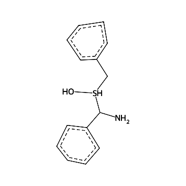 NC(c1ccccc1)[SH](O)Cc1ccccc1